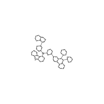 c1ccc(-c2c(-c3ccccc3)c3cc(-c4cccc(N(c5cccc(-c6cccc7ccccc67)c5)c5cccc6sc7ccccc7c56)c4)ccc3c3ccccc23)cc1